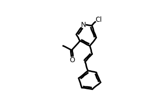 CC(=O)c1cnc(Cl)cc1/C=C/c1ccccc1